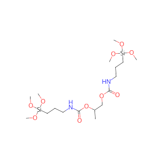 CO[Si](CCCNC(=O)OCC(C)OC(=O)NCCC[Si](OC)(OC)OC)(OC)OC